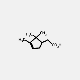 CC1=CCC(CC(=O)O)C1(C)C